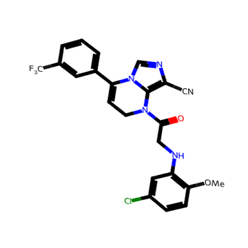 COc1ccc(Cl)cc1NCC(=O)N1CC=C(c2cccc(C(F)(F)F)c2)n2cnc(C#N)c21